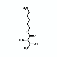 CC(O)C(N)C(=O)OCCCCO[N+](=O)[O-]